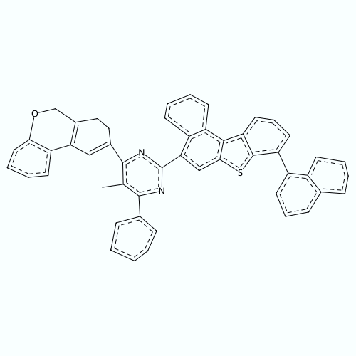 Cc1c(C2=CC3=C(CC2)COc2ccccc23)nc(-c2cc3sc4c(-c5cccc6ccccc56)cccc4c3c3ccccc23)nc1-c1ccccc1